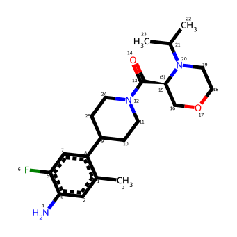 Cc1cc(N)c(F)cc1C1CCN(C(=O)[C@@H]2COCCN2C(C)C)CC1